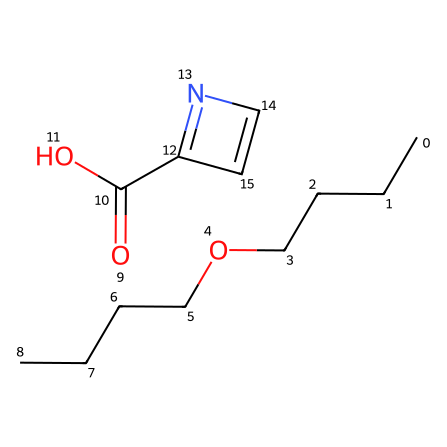 CCCCOCCCC.O=C(O)C1=NC=C1